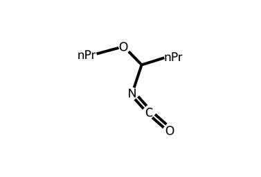 CCCOC(CCC)N=C=O